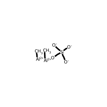 [CH3][Al+2].[CH3][Al+2].[O-][Si]([O-])([O-])[O-]